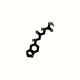 CC(=O)NCC(=O)CNC1CCc2ncsc2C1